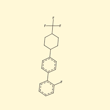 Fc1ccccc1-c1ccc(C2CCC(C(F)(F)F)CC2)cc1